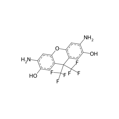 Nc1cc2c(cc1O)C(C(F)(F)F)(C(F)(F)F)c1cc(O)c(N)cc1O2